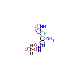 Cc1c(-c2cc3cc(NC(=O)OC4[C@H]5COC[C@@H]45)ncc3c(N)c2F)cnc2c1NCCO2